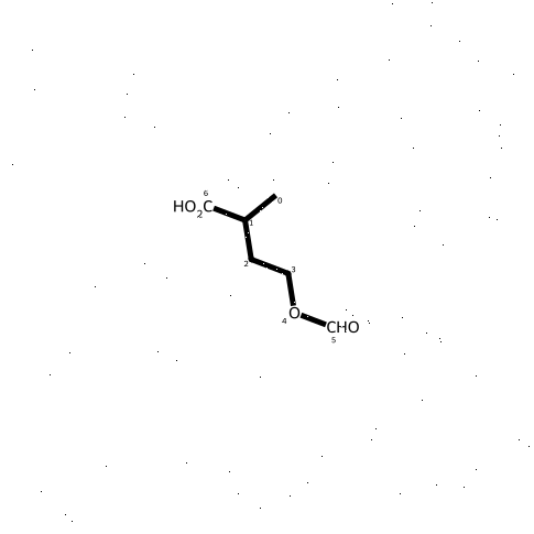 CC(CCOC=O)C(=O)O